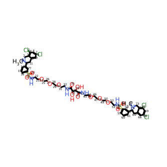 CN1Cc2c(Cl)cc(Cl)cc2CC1c1cccc(S(=O)(=O)NCCOCCOCCOCCNC(=O)C(O)C(O)C(=O)NCCOCCOCCOCCNS(=O)(=O)c2cccc(C3Cc4cc(Cl)cc(Cl)c4CN3C)c2)c1